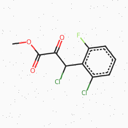 COC(=O)C(=O)C(Cl)c1c(F)cccc1Cl